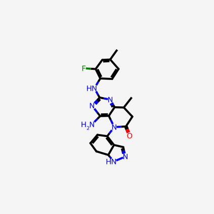 Cc1ccc(Nc2nc(N)c3c(n2)C(C)CC(=O)N3C2=C3C=NNC3CC=C2)c(F)c1